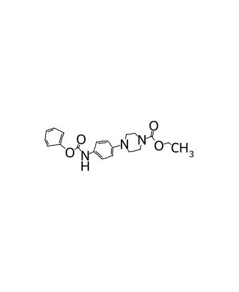 CCOC(=O)N1CCN(c2ccc(NC(=O)Oc3ccccc3)cc2)CC1